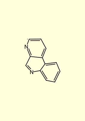 [c]1ccc2c(cnc3ccccc32)n1